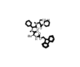 CC[C@H](C)[C@H](NC(=O)OCC1c2ccccc2-c2ccccc21)C(=O)N(C)[C@H](C(=O)N(C)[C@@H](CC(=O)O)C(=O)N1CCCCC1)C1CCCCC1